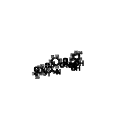 CC(C)(C=C(C#N)C(=O)N1CCCCC(OC(=O)N[C@@H](Cc2ccccc2)B(O)O)C1)N1CCOC2(CC2)C1